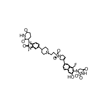 Cn1c(=O)n(C2CCC(=O)NC2=O)c2ccc(C3CCN(CCS(=O)(=O)N4CC=C(c5ccc6cc(O)c(N7CC(=O)NS7(=O)=O)c(F)c6c5)C4)CC3)cc21